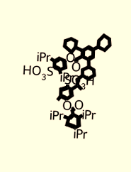 Cc1cc(S(=O)(=O)O)c(C(C)CC2CCCC(c3cc(C4CCCCC4)cc(C4CCCCC4)c3C(=O)Oc3cc(C(C)C)c(S(=O)(=O)O)c(C(C)C)c3)C2)cc1OC(=O)c1c(C(C)C)cc(C(C)C)cc1C(C)C